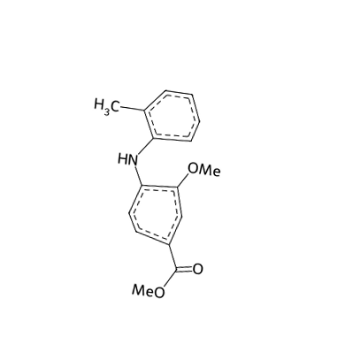 COC(=O)c1ccc(Nc2ccccc2C)c(OC)c1